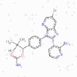 CC(C)(C)C(OC(N)=O)c1ccc(-n2c(-c3cccnc3N)nc3cc(Br)cnc32)cc1